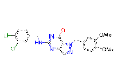 COc1ccc(Cn2ncc3nc(NCc4ccc(Cl)c(Cl)c4)[nH]c(=O)c32)cc1OC